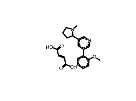 COc1ccccc1-c1cncc(C2CCCN2C)c1.O=C(O)C=CC(=O)O